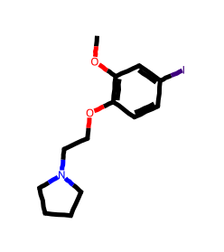 COc1cc(I)ccc1OCCN1CCCC1